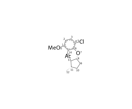 COc1ccc(Cl)c(O[C@@H]2CC[C@H](C)C2)c1C(C)=O